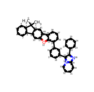 CC1(C)c2ccccc2-c2cc3oc4c(-c5cccc(-c6c(-c7ccccc7)nc7ccccn67)c5)cccc4c3cc21